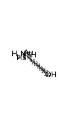 N[CH]([Au])C(S)C(S)CCCCCCCCCCCCCCCO